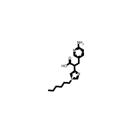 CCCCCCn1cnc(C(Cc2ccc(N)nc2)C(=O)O)c1